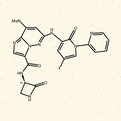 CNc1cc(Nc2cc(F)cn(-c3ccccn3)c2=O)nn2c(C(=O)N[C@@H]3CNC3=O)cnc12